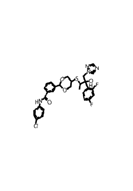 CC(SC1COC(c2cccc(C(=O)Nc3ccc(Cl)cc3)c2)OC1)C(O)(Cn1cncn1)c1ccc(F)cc1F